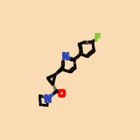 O=C([C@@H]1C[C@H]1c1ccc(-c2ccc(F)cc2)nc1)N1CCC1